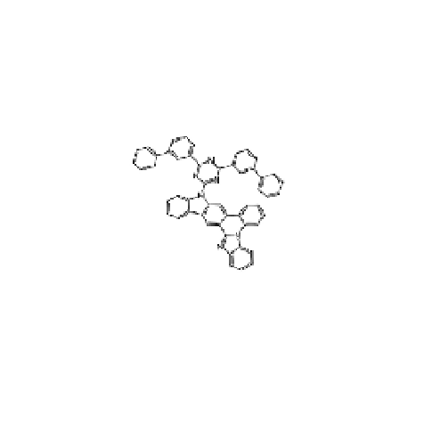 c1ccc(-c2cccc(-c3nc(-c4cccc(-c5ccccc5)c4)nc(-n4c5ccccc5c5cc6c(cc54)c4ccccc4n4c5ccccc5nc64)n3)c2)cc1